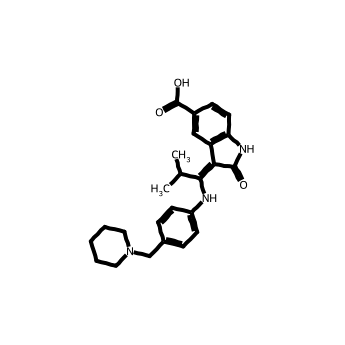 CC(C)/C(Nc1ccc(CN2CCCCC2)cc1)=C1/C(=O)Nc2ccc(C(=O)O)cc21